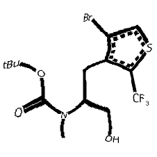 CN(C(=O)OC(C)(C)C)C(CO)Cc1c(Br)csc1C(F)(F)F